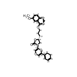 COc1ccc2ncnc(OCCC[C@@H]3CN(C4=COC=C(C5=CC=CCC5)O4)C(=O)O3)c2c1